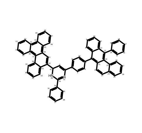 C1=C(c2ccc(-c3c4ccccc4c(-c4ccccc4)c4c3ccc3ccccc34)cc2)N=C(c2ccccc2)NC1c1cc2c3ccccc3c3ccccc3c2c2ccccc12